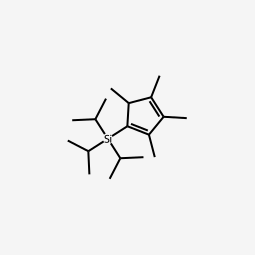 CC1=C(C)C(C)C([Si](C(C)C)(C(C)C)C(C)C)=C1C